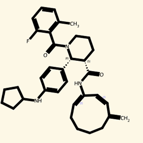 C=C1/C=C\C(NC(=O)[C@H]2CCCN(C(=O)c3c(C)cccc3F)[C@H]2c2ccc(NC3CCCC3)cc2)=C/CCCC1